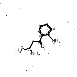 CC(N)CC(=O)c1ccccc1N